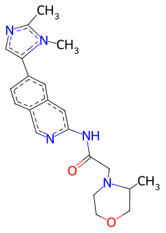 Cc1ncc(-c2ccc3cnc(NC(=O)CN4CCOCC4C)cc3c2)n1C